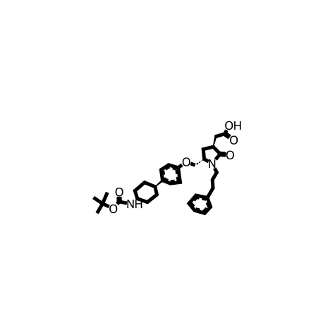 CC(C)(C)OC(=O)N[C@H]1CC[C@@H](c2ccc(OC[C@@H]3C[C@@H](CC(=O)O)C(=O)N3CCCc3ccccc3)cc2)CC1